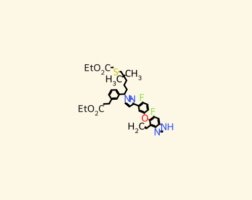 C=Cc1c(Oc2ccc(F)c(-c3ccn(C(CCCC(C)(C)CSCC(=O)OCC)c4cccc(CCC(=O)OCC)c4)n3)c2)c(F)cc2[nH]cnc12